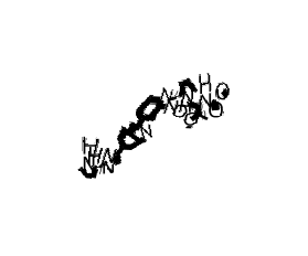 COC(=O)N[C@H](C(=O)N1CCC[C@H]1c1nc2ccc(-c3cc4ccc(-c5cnc([C@@H]6CCCN6)[nH]5)cc4cn3)cc2[nH]1)[C@@H](C)OC